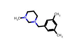 Cc1cc(C)cc(CN2CCCN(C)C2)c1